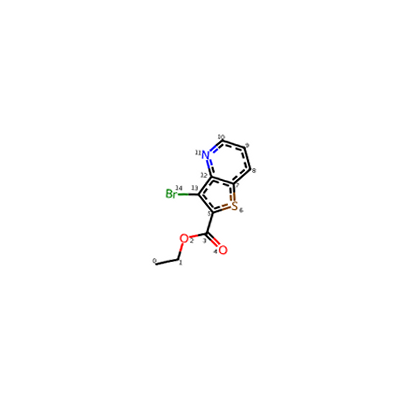 CCOC(=O)c1sc2cccnc2c1Br